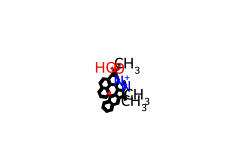 COC1(O)C2c3ccc4ccccc4c3C3=[N+](C=NC4C3c3cc5ccccc5cc3C4(C)C)C21